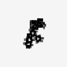 CC(C)(O)C(C)(C)OBC1=CC(c2ccccc2)C2C(=C1)Oc1cc3ccccc3cc12